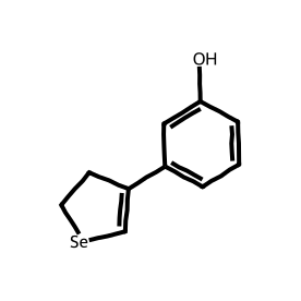 Oc1cccc(C2=C[Se]CC2)c1